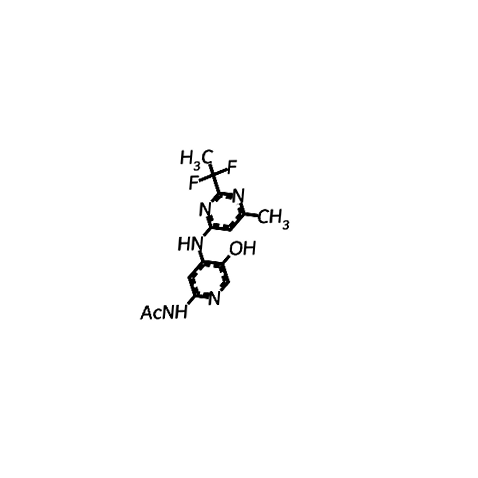 CC(=O)Nc1cc(Nc2cc(C)nc(C(C)(F)F)n2)c(O)cn1